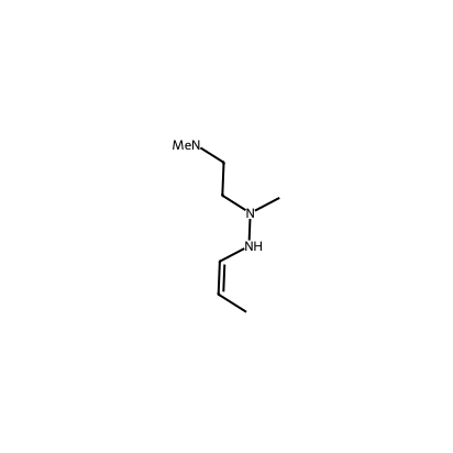 C/C=C\NN(C)CCNC